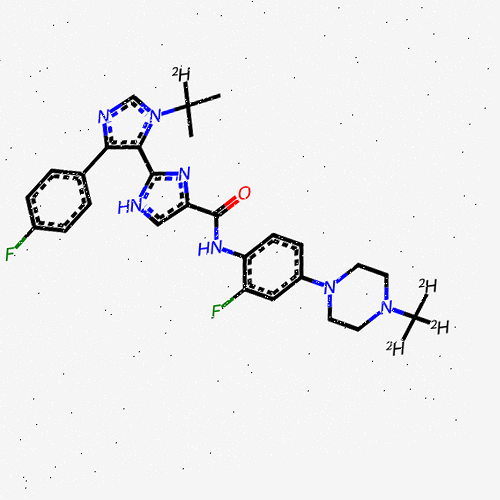 [2H]C([2H])([2H])N1CCN(c2ccc(NC(=O)c3c[nH]c(-c4c(-c5ccc(F)cc5)ncn4C([2H])(C)C)n3)c(F)c2)CC1